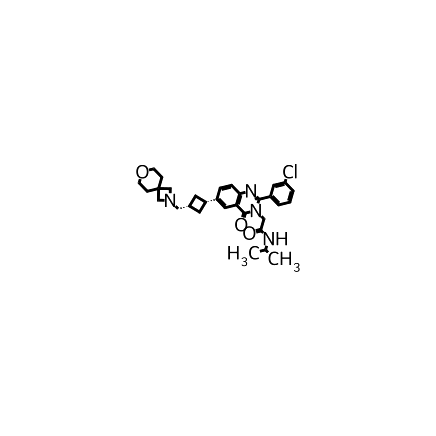 CC(C)NC(=O)Cn1c(-c2cccc(Cl)c2)nc2ccc([C@H]3C[C@@H](CN4CC5(CCOCC5)C4)C3)cc2c1=O